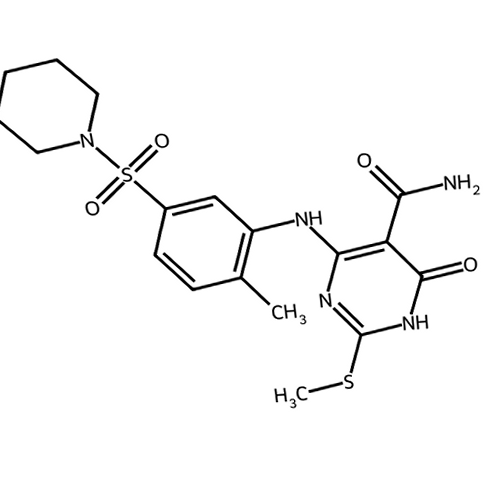 CSc1nc(Nc2cc(S(=O)(=O)N3CCCCC3)ccc2C)c(C(N)=O)c(=O)[nH]1